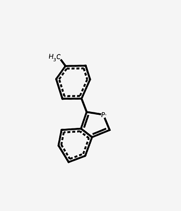 Cc1ccc(C2=c3ccccc3=C[P]2)cc1